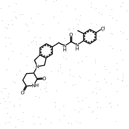 Cc1cc(Cl)ccc1NC(=O)NCc1ccc2c(c1)CN(C1CCC(=O)NC1=O)C2